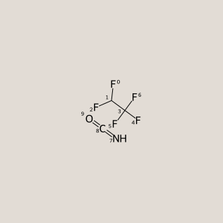 FC(F)C(F)(F)F.N=C=O